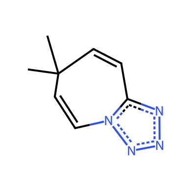 CC1(C)C=Cc2nnnn2C=C1